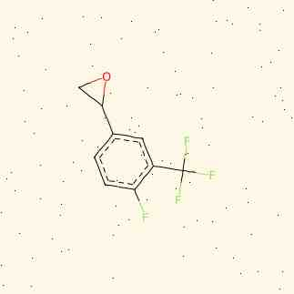 Fc1ccc(C2CO2)cc1C(F)(F)F